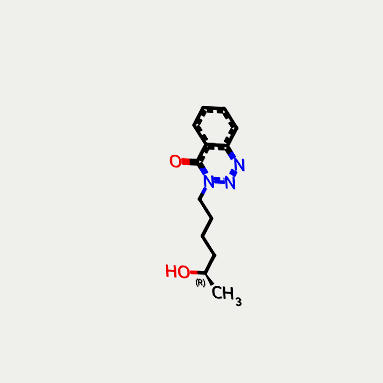 C[C@@H](O)CCCCn1nnc2ccccc2c1=O